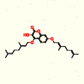 CC(C)=CCC/C(C)=C/COc1ccc2c(OC/C=C(\C)CCC=C(C)C)c(O)c(=O)oc2c1